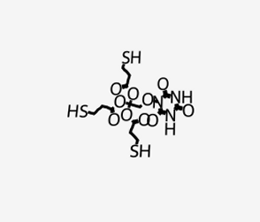 O=C(CCS)OC(COn1c(=O)[nH]c(=O)[nH]c1=O)(OC(=O)CCS)OC(=O)CCS